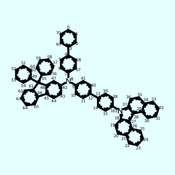 c1ccc(-c2ccc(N(c3ccc(-c4ccc(-n5c6ccc7ccccc7c6c6c7ccccc7ccc65)cc4)cc3)c3ccc4c(c3)C(c3ccccc3)(c3ccccc3)c3ccccc3-4)cc2)cc1